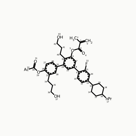 C=C(C)C(=O)Oc1cc(-c2ccc(C3CCC(CCC)CC3)cc2F)cc(-c2ccc(OC(=O)C(C)=O)c(CCCO)c2)c1CCCO